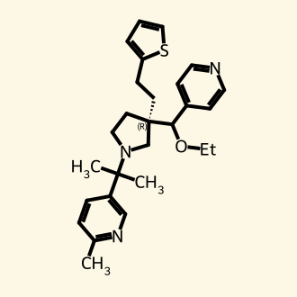 CCOC(c1ccncc1)[C@]1(CCc2cccs2)CCN(C(C)(C)c2ccc(C)nc2)C1